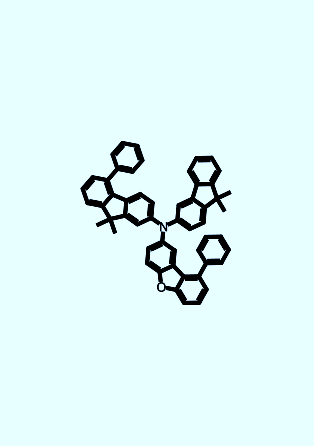 CC1(C)c2ccccc2-c2cc(N(c3ccc4c(c3)C(C)(C)c3cccc(-c5ccccc5)c3-4)c3ccc4oc5cccc(-c6ccccc6)c5c4c3)ccc21